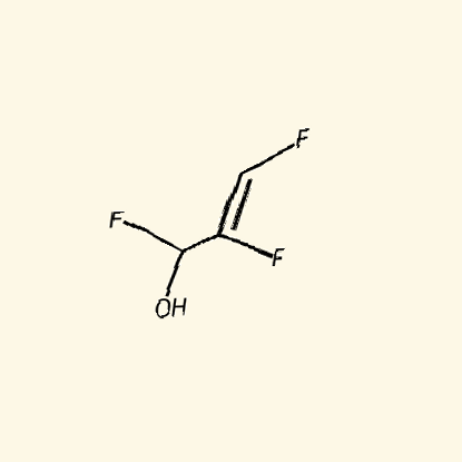 OC(F)C(F)=CF